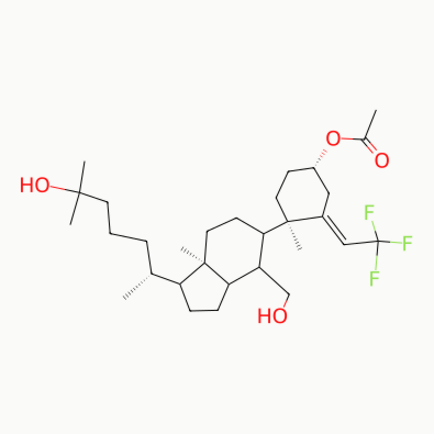 CC(=O)O[C@H]1CC[C@](C)(C2CC[C@@]3(C)C(CCC3[C@H](C)CCCC(C)(C)O)C2CO)C(=CC(F)(F)F)C1